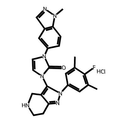 Cc1cc(-n2nc3c(c2-n2ccn(-c4ccc5c(cnn5C)c4)c2=O)CNCC3)cc(C)c1F.Cl